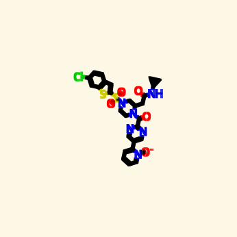 O=C(CC1CN(S(=O)(=O)c2cc3ccc(Cl)cc3s2)CCN1C(=O)c1ncc(-c2cccc[n+]2[O-])cn1)NC1CC1